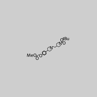 COC(=O)COc1ccc(C2CCN(CCC3CCN(C(=O)OC(C)(C)C)CC3)CC2)cc1